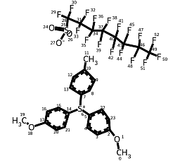 COc1ccc([S+](c2ccc(C)cc2)c2ccc(OC)cc2)cc1.O=S(=O)([O-])C(F)(F)C(F)(F)C(F)(F)C(F)(F)C(F)(F)C(F)(F)C(F)(F)C(F)(F)F